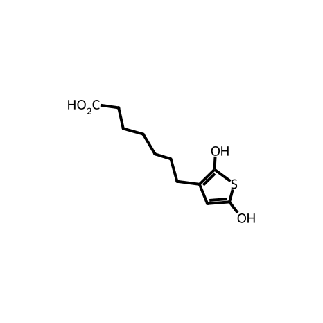 O=C(O)CCCCCCc1cc(O)sc1O